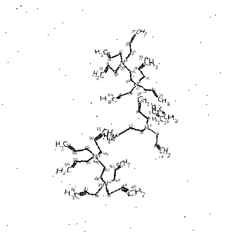 C=C.C=C.C=CCN(CC=C)CCN.C=CC[N+](CC=C)(CC=C)CC[N+](CC=C)(CC=C)CC=C.C=CC[N+](CC=C)(CC=C)CC[N+](CC=C)(CC=C)CC=C